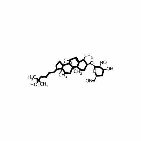 C[C@@H]1C2=CCC3[C@@](C)(CC[C@]4(C)C(CCCCC(C)(C)O)CC[C@@]34C)C2CC[C@@H]1O[C@@H]1O[C@H](CN=O)C[C@H](O)[C@H]1N=O